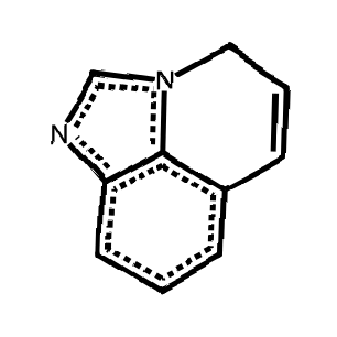 C1=Cc2cccc3ncn(c23)C1